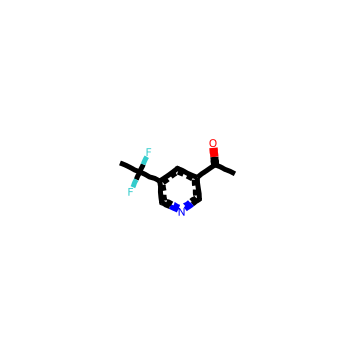 CC(=O)c1cncc(C(C)(F)F)c1